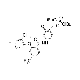 Cc1cc(F)ccc1Oc1cc(C(F)(F)F)ccc1C(=O)Nc1ccn(COP(=O)(OCC(C)C)OCC(C)C)c(=O)c1